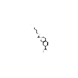 COCCCNC(=O)N1CCC2=C(CC(C(=O)NO)C=C2)C1